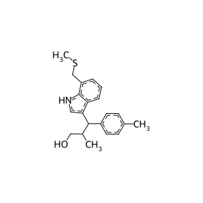 CSCc1cccc2c(C(c3ccc(C)cc3)C(C)CO)c[nH]c12